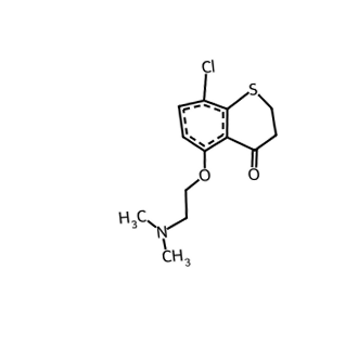 CN(C)CCOc1ccc(Cl)c2c1C(=O)CCS2